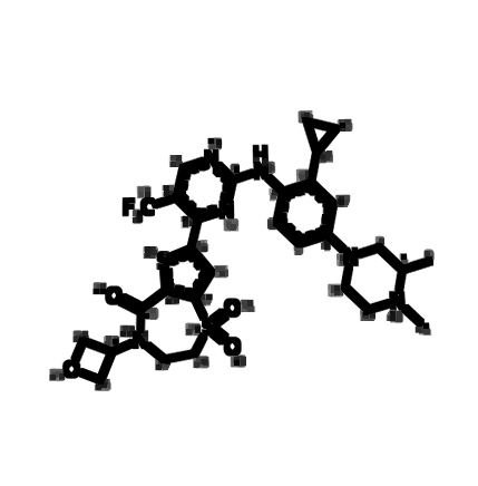 CC1CN(c2ccc(Nc3ncc(C(F)(F)F)c(-c4cc5c(s4)C(=O)N(C4COC4)CCS5(=O)=O)n3)c(C3CC3)c2)CCN1C